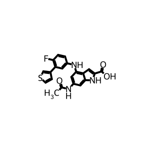 CC(=O)Nc1cc(Nc2ccc(F)c(-c3ccsc3)c2)c2cc(C(=O)O)[nH]c2c1